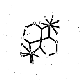 F[Si](F)(F)C1OSOC([Si](F)(F)F)C12C([Si](F)(F)F)OSOC2[Si](F)(F)F